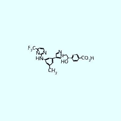 Cc1cc(Nc2nccc(C(F)(F)F)n2)cc(-c2cnn(CC(O)c3ccc(C(=O)O)cc3)c2)c1